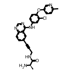 Cc1ccc(Oc2ccc(Nc3ncnc4ccc(C#CCNC(=O)[C@@H](C)N)cc34)cc2Cl)cn1